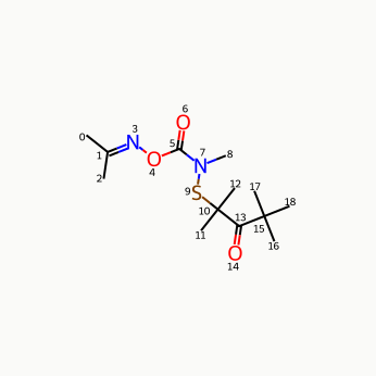 CC(C)=NOC(=O)N(C)SC(C)(C)C(=O)C(C)(C)C